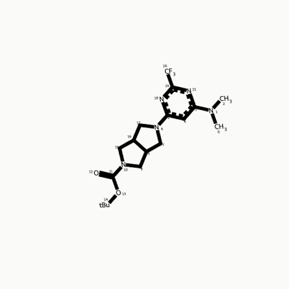 CN(C)c1cc(N2CC3CN(C(=O)OC(C)(C)C)CC3C2)nc(C(F)(F)F)n1